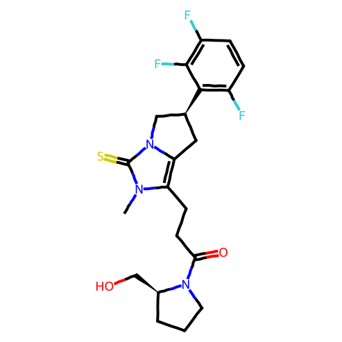 Cn1c(CCC(=O)N2CCC[C@H]2CO)c2n(c1=S)C[C@@H](c1c(F)ccc(F)c1F)C2